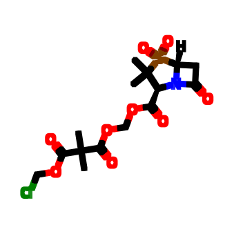 CC(C)(C(=O)OCCl)C(=O)OCOC(=O)[C@@H]1N2C(=O)C[C@H]2S(=O)(=O)C1(C)C